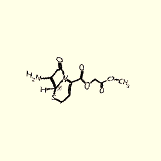 COC(=O)COC(=O)C1=CCS[C@@H]2C(N)C(=O)N12